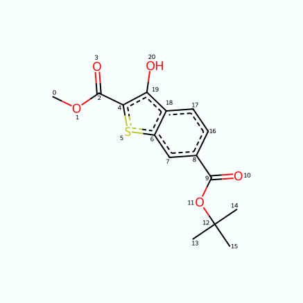 COC(=O)c1sc2cc(C(=O)OC(C)(C)C)ccc2c1O